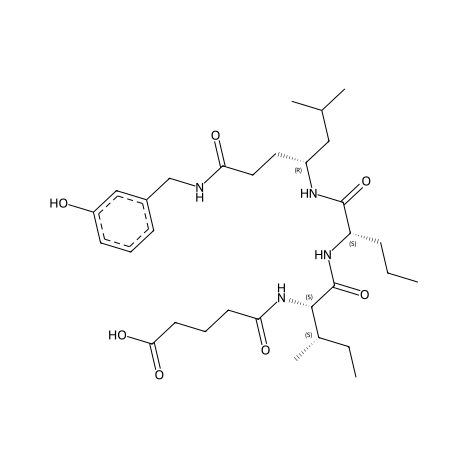 CCC[C@H](NC(=O)[C@@H](NC(=O)CCCC(=O)O)[C@@H](C)CC)C(=O)N[C@H](CCC(=O)NCc1cccc(O)c1)CC(C)C